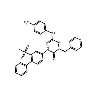 CS(=O)(=O)c1cc(NC(=O)[C@H](Cc2ccccc2)NC(=O)Nc2ccc(C(F)(F)F)cc2)ccc1-c1ccccc1